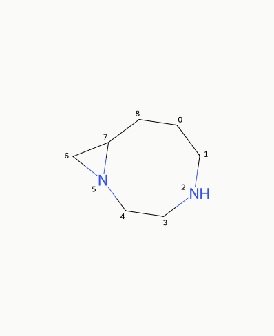 C1CNCCN2CC2C1